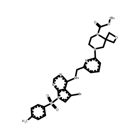 Cc1ccc(S(=O)(=O)n2cc(Br)c3c(NCc4cccc(N5CCN(C(=O)OC(C)(C)C)C6(COC6)C5)n4)ncnc32)cc1